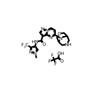 Cn1cc(NC(=O)c2cnn3ccc(N4CC5CNCC4COC5)nc23)c(C(F)(F)F)n1.O=C(O)C(F)(F)F